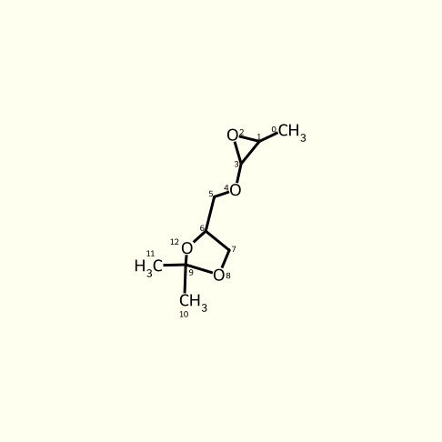 CC1OC1OCC1COC(C)(C)O1